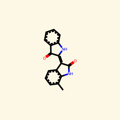 Cc1cccc2c1NC(=O)C2=C1Nc2ccccc2C1=O